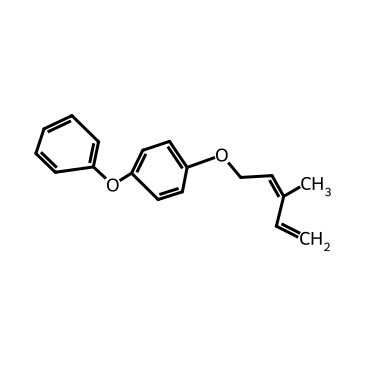 C=CC(C)=CCOc1ccc(Oc2ccccc2)cc1